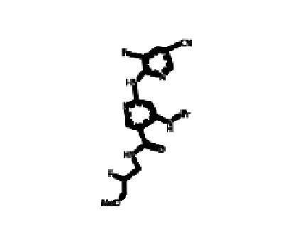 COCC(F)CNC(=O)c1cnc(Nc2ncc(C#N)cc2F)cc1NC(C)C